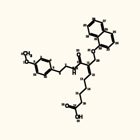 COc1ccc(CCNC(=O)C(=CCCCCC(=O)O)COc2cccc3ccccc23)cc1